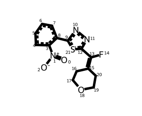 O=[N+]([O-])c1ccccc1-c1nnc(C(F)=C2CCOCC2)s1